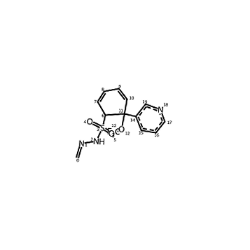 C=NNS(=O)(=O)C1C=CC=CC1(OC(F)(F)F)c1cccnc1